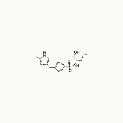 Cc1nc(Cc2ccc(S(=O)(=O)N[C@H](CO)CC(C)C)cc2)c[nH]1